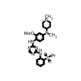 COc1cc(N(C)C2CCN(C)CC2)ccc1Nc1ncnc(Nc2ccccc2S(=O)(=O)C(C)C)n1